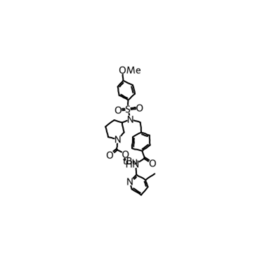 COc1ccc(S(=O)(=O)N(Cc2ccc(C(=O)Nc3ncccc3C)cc2)C2CCCN(C(=O)OC(C)(C)C)C2)cc1